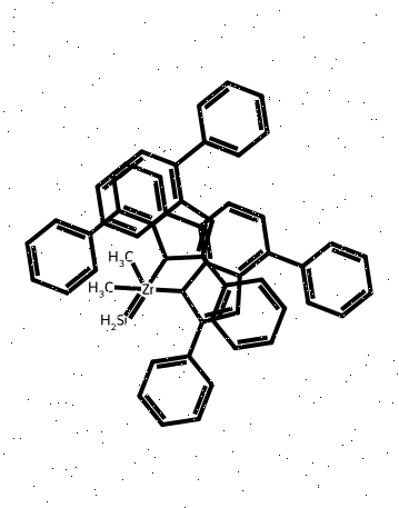 [CH3][Zr]([CH3])(=[SiH2])([CH]1C(c2ccccc2)=Cc2c(-c3ccccc3)ccc(-c3ccccc3)c21)[CH]1C(c2ccccc2)=Cc2c(-c3ccccc3)ccc(-c3ccccc3)c21